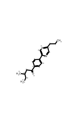 CCCc1cnc(-c2ccc(C(=O)CC(C)CC)cc2)cn1